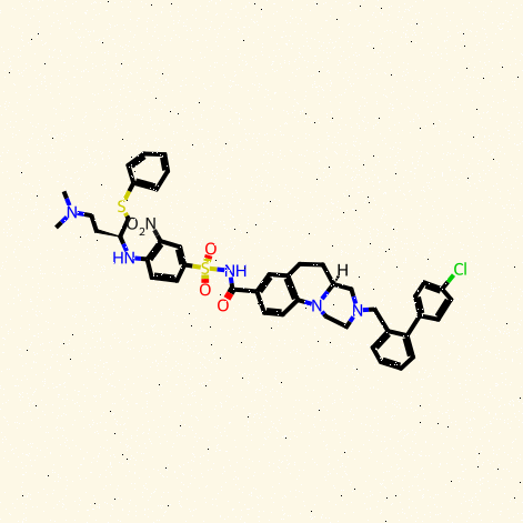 CN(C)CC[C@@H](CSc1ccccc1)Nc1ccc(S(=O)(=O)NC(=O)c2ccc3c(c2)CC[C@H]2CN(Cc4ccccc4-c4ccc(Cl)cc4)CCN32)cc1[N+](=O)[O-]